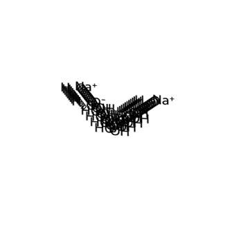 O.O.O.O.O.O.O.O.O.O.O.O.O.O.O.O.O.O.O.O.OB(O)O.OB(O)O.OB(O)O.OB(O)O.OB(O)O.OB(O)O.OB(O)O.[Na+].[Na+].[O-]B([O-])O